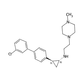 CN1CCN(CCN[C@@H]2C[C@H]2c2ccc(-c3cccc(Cl)c3)cc2)CC1